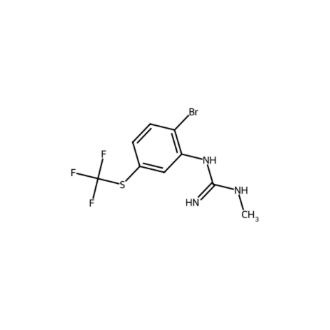 CNC(=N)Nc1cc(SC(F)(F)F)ccc1Br